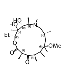 CC[C@H]1OC(=O)[C@H](C)C(=O)[C@H](C)C(C)[C@](C)(OC)C[C@@H](C)CN(C)[C@H](C)[C@@H](O)[C@]1(C)O